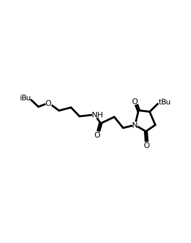 CCC(C)COCCCNC(=O)CCN1C(=O)CC(C(C)(C)C)C1=O